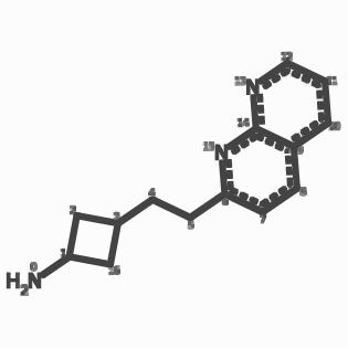 NC1CC(CCc2ccc3cccnc3n2)C1